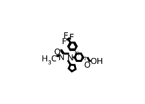 Cc1nc(CN(CC2CCCC2)[C@@H]2CC[C@@H](CC(=O)O)C[C@H]2c2ccc(C(F)(F)F)cc2)co1